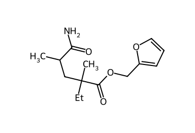 CCC(C)(CC(C)C(N)=O)C(=O)OCc1ccco1